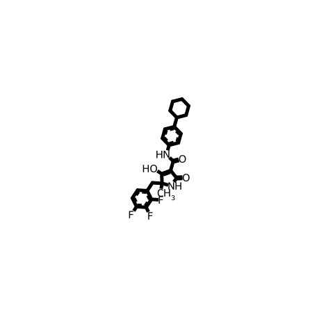 CC1(Cc2ccc(F)c(F)c2F)NC(=O)C(C(=O)Nc2ccc(C3CCCCC3)cc2)=C1O